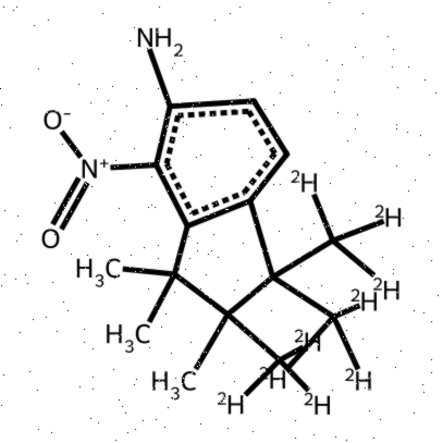 [2H]C([2H])([2H])C1(C)C(C)(C)c2c(ccc(N)c2[N+](=O)[O-])C1(C([2H])([2H])[2H])C([2H])([2H])[2H]